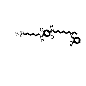 CCN(CCCCCCNC1=CC(=O)C(NCCCCCCN)=CC1=O)Cc1ccccc1OC